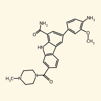 COc1cc(-c2cc(C(N)=O)c3[nH]c4cc(C(=O)N5CCN(C)CC5)ccc4c3c2)ccc1N